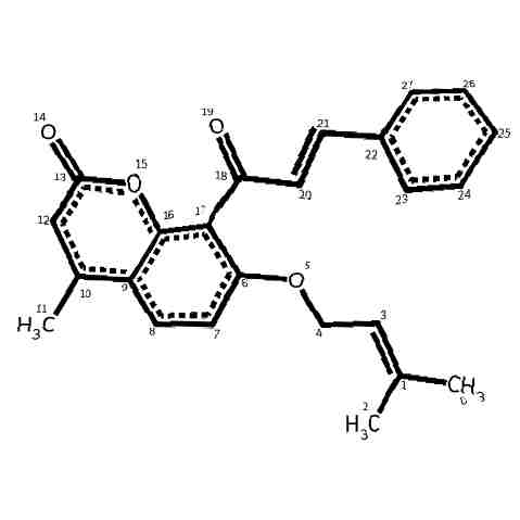 CC(C)=CCOc1ccc2c(C)cc(=O)oc2c1C(=O)C=Cc1ccccc1